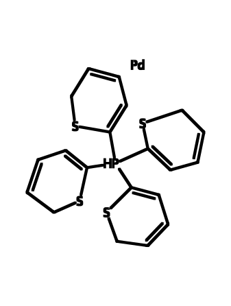 C1=CCSC([PH](C2=CC=CCS2)(C2=CC=CCS2)C2=CC=CCS2)=C1.[Pd]